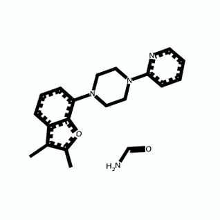 Cc1oc2c(N3CCN(c4ccccn4)CC3)cccc2c1C.NC=O